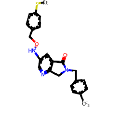 CCSc1ccc(CONc2cnc3c(c2)C(=O)N(Cc2ccc(C(F)(F)F)cc2)C3)cc1